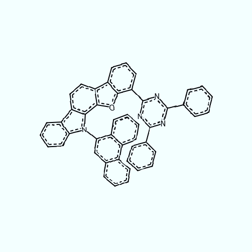 c1ccc(-c2nc(-c3ccccc3)nc(-c3cccc4c3oc3c4ccc4c5ccccc5n(-c5cc6ccccc6c6ccccc56)c43)n2)cc1